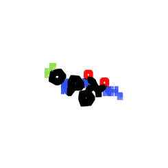 CC(C(N)=O)C1CC(=O)N(c2ccc3c(cnn3C3CCC(F)(F)CC3)c2)C1c1ccccc1